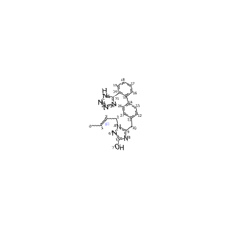 C/C=C/Cn1nc(O)nc1Cc1ccc(-c2ccccc2-c2nnn[nH]2)cc1